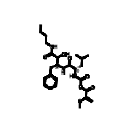 C=C(OC)C(=O)OC(=O)N[C@@H](CC(C)C)C(=O)N[C@@H](Cc1ccccc1)C(O)C(=O)NCCCC